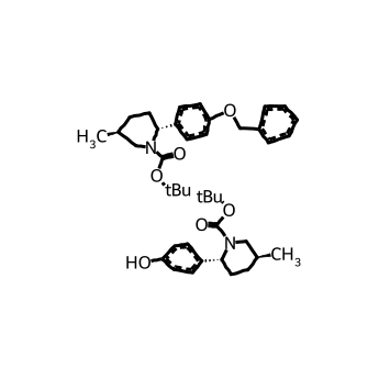 C[C@H]1CC[C@H](c2ccc(O)cc2)N(C(=O)OC(C)(C)C)C1.C[C@H]1CC[C@H](c2ccc(OCc3ccccc3)cc2)N(C(=O)OC(C)(C)C)C1